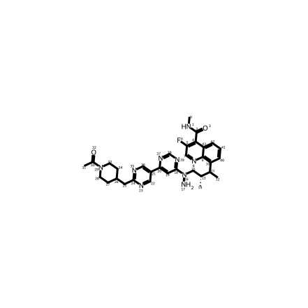 CNC(=O)c1c(F)cnc2c(C(C)[C@H](C)CN(N)c3cc(-c4cnc(CC5CCN(C(C)=O)CC5)nc4)ncn3)cccc12